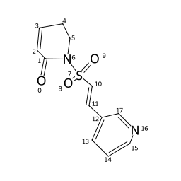 O=C1C=CCCN1S(=O)(=O)C=Cc1cccnc1